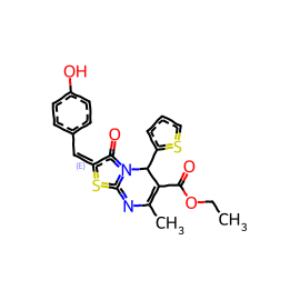 CCOC(=O)C1=C(C)N=c2s/c(=C/c3ccc(O)cc3)c(=O)n2C1c1cccs1